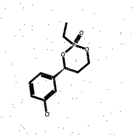 CCP1(=O)OCC[C@@H](c2cccc(Cl)c2)O1